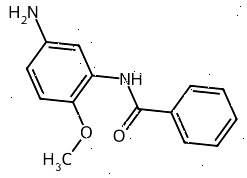 COc1ccc(N)cc1NC(=O)c1ccccc1